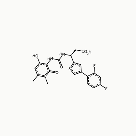 Cc1cc(O)c(NC(=O)N[C@@H](CC(=O)O)c2cc(-c3ccc(F)cc3F)cs2)c(=O)n1C